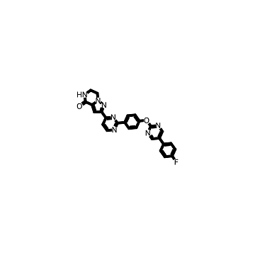 O=C1NCCn2nc(-c3ccnc(-c4ccc(Oc5ncc(-c6ccc(F)cc6)cn5)cc4)n3)cc21